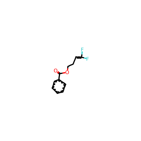 O=C(OCCC=C(F)F)c1ccccc1